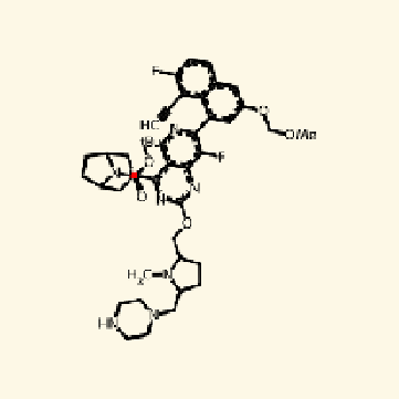 C#Cc1c(F)ccc2cc(OCOC)cc(-c3ncc4c(N5CC6CCC(C5)N6C(=O)OC(C)(C)C)nc(OCC5CCC(CN6CCNCC6)N5C)nc4c3F)c12